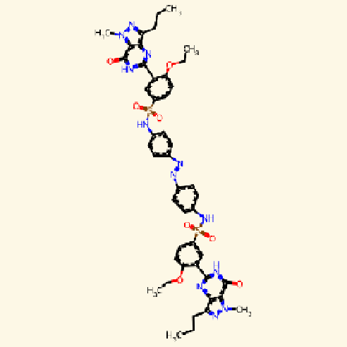 CCCc1nn(C)c2c(=O)[nH]c(-c3cc(S(=O)(=O)Nc4ccc(/N=N/c5ccc(NS(=O)(=O)c6ccc(OCC)c(-c7nc8c(CCC)nn(C)c8c(=O)[nH]7)c6)cc5)cc4)ccc3OCC)nc12